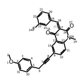 COc1ccc(CC#Cc2ccc3c(c2)C(=O)/C(=C\c2cccc(F)c2)C(=O)N3C)cc1